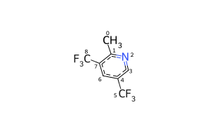 Cc1ncc(C(F)(F)F)cc1C(F)(F)F